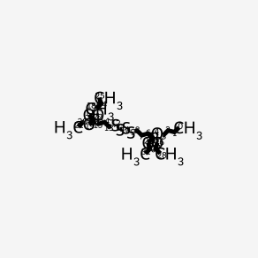 CCCCO[Si](CCCSSSSCCC[Si](OC)(OCC)OCCC)(OCC)OCC